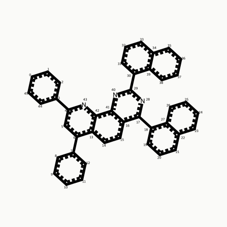 c1ccc(-c2cc(-c3ccccc3)c3ccc4c(-c5cccc6ccccc56)nc(-c5cccc6ccccc56)nc4c3n2)cc1